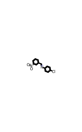 O=[N+]([O-])c1cccc(/C=N/c2ccc(Cl)cc2)c1